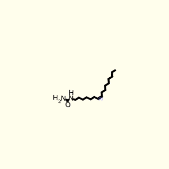 CCCCCCCC/C=C\CCCCCCNC(N)=O